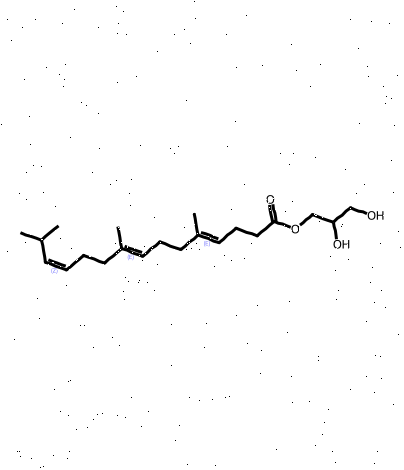 C/C(=C\CC/C(C)=C/CCC(=O)OCC(O)CO)CC/C=C\C(C)C